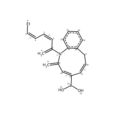 C=C(/C=C\C=C/CC)N1C(=C)/C=C(B(O)O)\C=C/Cc2ccccc21